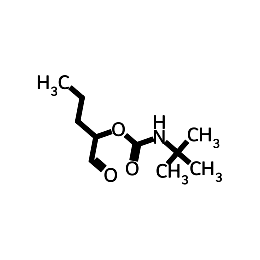 CCCC(C=O)OC(=O)NC(C)(C)C